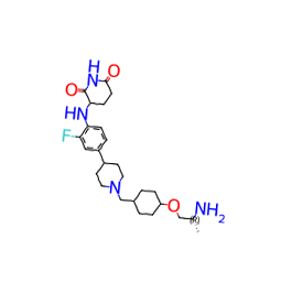 C[C@@H](N)COC1CCC(CN2CCC(c3ccc(NC4CCC(=O)NC4=O)c(F)c3)CC2)CC1